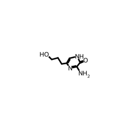 Nc1nc(CCCO)c[nH]c1=O